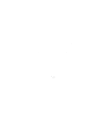 O=C1CCC2NCCC(O)C2C1